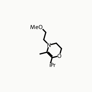 COCCN1CCOC(C(C)C)=C1C